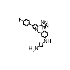 NC1CC(Nc2ccc3c(c2)Cn2cc(-c4ccc(F)cc4)cc2-c2nnnn2-3)C1